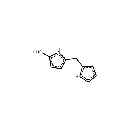 O=Cc1ccc(Cc2ccc[nH]2)[nH]1